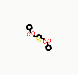 O=C(OCC1=CC=C(COC(=O)c2ccccc2)SS1)c1ccccc1